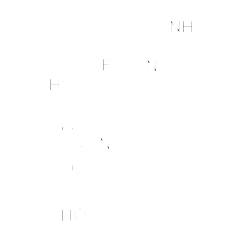 Cl.O=C1OC(CO)CN1c1ccc(N2CCNCC2)c(F)c1